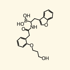 O=C(Cc1ccccc1OCCCO)NC(Cc1coc2ccccc12)B(O)O